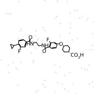 O=C(NCCNC(=O)c1ccc(O[C@H]2CC[C@@H](C(=O)O)CC2)cc1F)c1ccc(C2CC2)c(F)c1